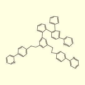 c1ccc(-c2cc(-c3ccccn3)ccc2-c2ccccc2-c2cc(CCc3ccc(-c4ccccn4)cc3)cc(CCc3ccc(-c4ccccn4)cc3)c2)cc1